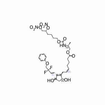 C[C@@H](COC(=O)CCC/C=C\C[C@@H]1[C@@H](/C=C/C(F)(F)COc2ccccc2)[C@H](O)C[C@@H]1O)NC(=O)OCCCCC(CO[N+](=O)[O-])O[N+](=O)[O-]